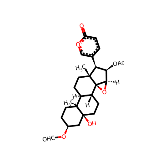 CC(=O)O[C@H]1[C@H]2O[C@]23[C@@H]2CC[C@]4(O)C[C@@H](OC=O)CC[C@]4(C)[C@H]2CC[C@]3(C)[C@H]1c1ccc(=O)oc1